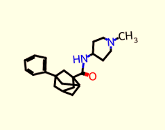 CN1CCC(NC(=O)C23CC4CC2CC(c2ccccc2)(C4)C3)CC1